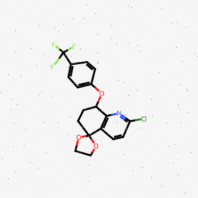 FC(F)(F)c1ccc(OC2CCC3(OCCO3)c3ccc(Cl)nc32)cc1